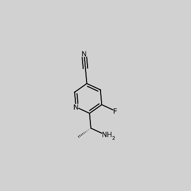 C[C@@H](N)c1ncc(C#N)cc1F